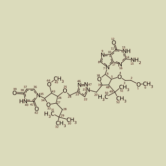 COCCOC1C(n2cnc3c(=O)[nH]c(N)nc32)OC(Cn2cc(COC3C(CC(C)(C)C)OC(n4ccc(=O)[nH]c4=O)C3OC)nn2)C1C(C)(C)C